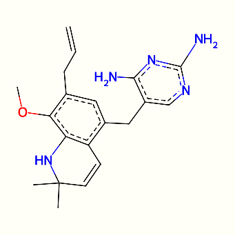 C=CCc1cc(Cc2cnc(N)nc2N)c2c(c1OC)NC(C)(C)C=C2